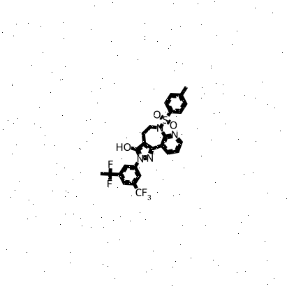 Cc1ccc(S(=O)(=O)N2CCc3c(nn(-c4cc(C(C)(F)F)cc(C(F)(F)F)c4)c3O)-c3cccnc32)cc1